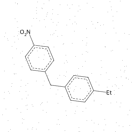 CCc1ccc(Cc2ccc([N+](=O)[O-])cc2)cc1